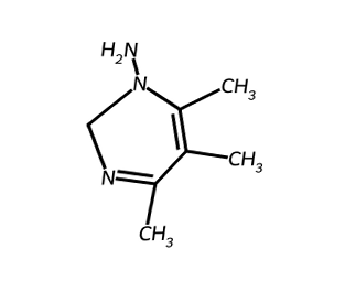 CC1=NCN(N)C(C)=C1C